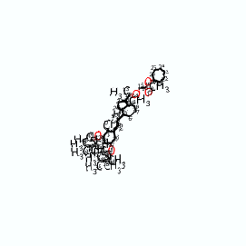 C=C1C(=CC=C2CCC[C@]3(C)C([C@H](C)OCC(=O)OC4(C)CCCCCC4)=CC[C@@H]23)C[C@@H](O[Si](C)(C)C(C)(C)C)C[C@@H]1O[Si](C)(C)C(C)(C)C